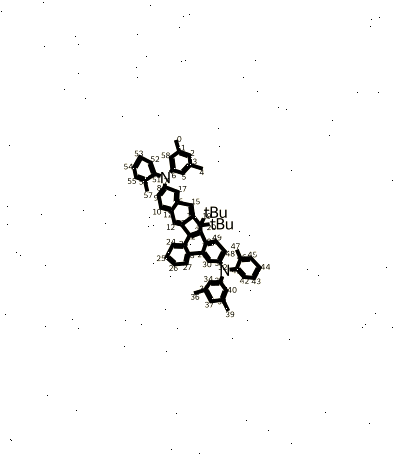 Cc1cc(C)cc(N(c2ccc3cc4c(cc3c2)C(C(C)(C)C)(C(C)(C)C)c2c-4c3ccccc3c3cc(N(c4cc(C)cc(C)c4)c4ccccc4C)ccc23)c2ccccc2C)c1